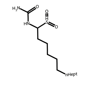 CCCCCCCCCCCCC(NC(N)=O)[SH](=O)=O